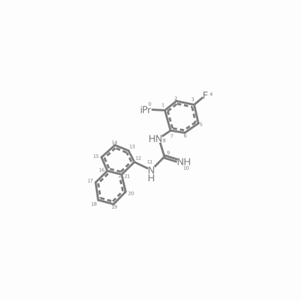 CC(C)c1cc(F)ccc1NC(=N)Nc1cccc2ccccc12